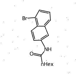 CCCCCCC(=O)Nc1ccc2c(Br)cccc2c1